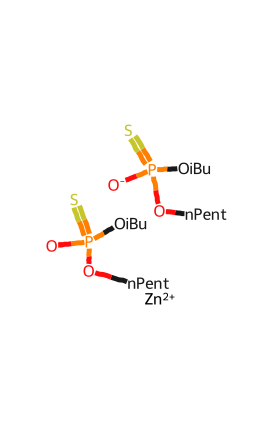 CCCCCOP([O-])(=S)OCC(C)C.CCCCCOP([O-])(=S)OCC(C)C.[Zn+2]